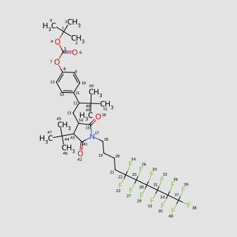 CC(C)(C)OC(=O)Oc1ccc(C(CC2C(=O)N(CCCCC(F)(F)C(F)(F)C(F)(F)C(F)(F)C(F)(F)C(F)(F)F)C(=O)C2C(C)(C)C)C(C)(C)C)cc1